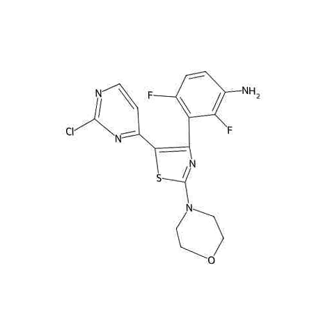 Nc1ccc(F)c(-c2nc(N3CCOCC3)sc2-c2ccnc(Cl)n2)c1F